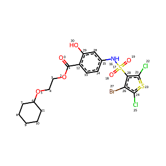 O=C(OCCOC1CCCCC1)c1ccc(NS(=O)(=O)c2c(Cl)sc(Cl)c2Br)cc1O